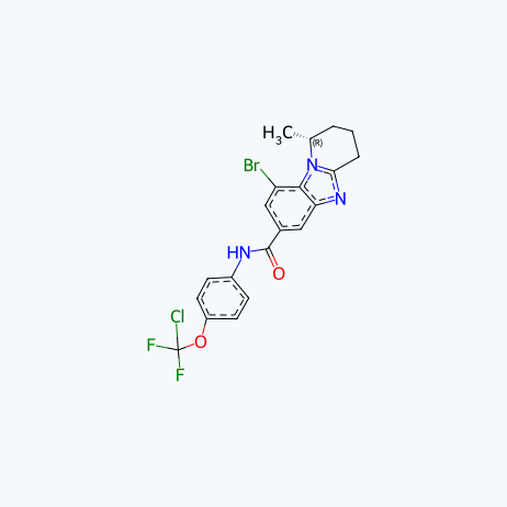 C[C@@H]1CCCc2nc3cc(C(=O)Nc4ccc(OC(F)(F)Cl)cc4)cc(Br)c3n21